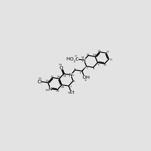 CCC1CN(CC(O)[C@@H]2Cc3ccccc3CN2C(=O)O)C(=O)c2cc(Cl)ncc21